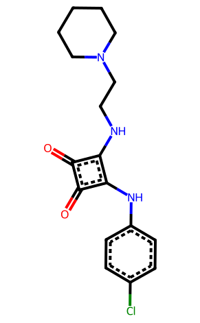 O=c1c(NCCN2CCCCC2)c(Nc2ccc(Cl)cc2)c1=O